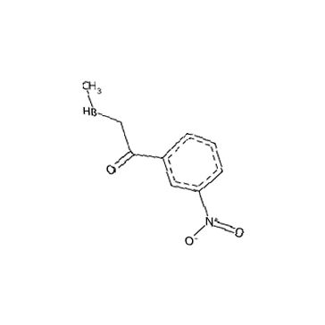 CBCC(=O)c1cccc([N+](=O)[O-])c1